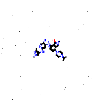 Cc1nn(C)cc1Nc1cc(Nc2ccc(N3CCN(C(C)C)CC3)c3c2C(=O)N(C)C3)c(N)cn1